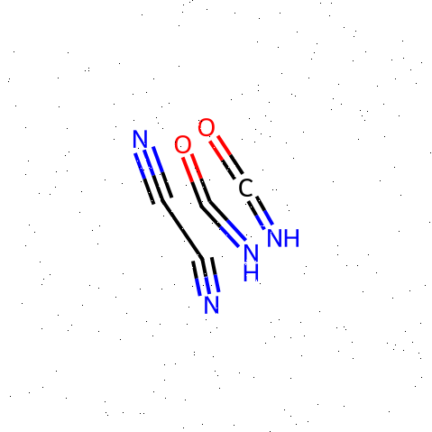 N#CC#N.N=C=O.N=C=O